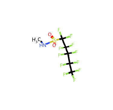 CNS(=O)(=O)C(F)(F)C(F)(F)C(F)(F)C(F)(F)C(F)(F)F